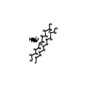 Br.Br.CCCCCCCCCCCC.CCCCCCCCCCCC